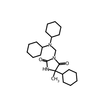 CC1(C2CCCCC2)NC(=O)N(CN(C2CCCCC2)C2CCCCC2)C1=O